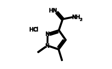 Cc1cc(C(=N)N)nn1C.Cl